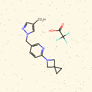 O=C(O)C(F)(F)F.O=C(O)c1cnn(Cc2ccc(N3CC4(CC4)C3)nc2)c1